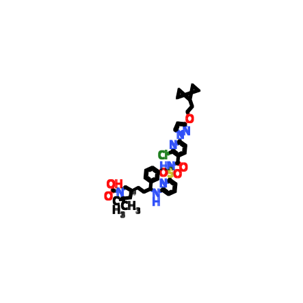 CC1(C)C[C@H](CCC(Nc2cccc(S(=O)(=O)NC(=O)c3ccc(-n4ccc(OCCC5C6(CC6)C56CC6)n4)nc3Cl)n2)c2ccccc2)CN1C(=O)O